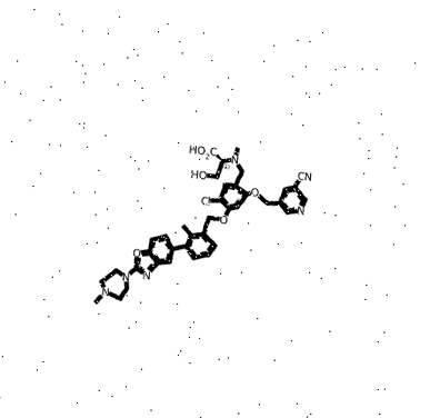 Cc1c(COc2cc(OCc3cncc(C#N)c3)c(CN(C)[C@@H](CO)C(=O)O)cc2Cl)cccc1-c1ccc2oc(N3CCN(C)CC3)nc2c1